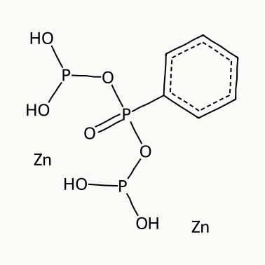 O=P(OP(O)O)(OP(O)O)c1ccccc1.[Zn].[Zn]